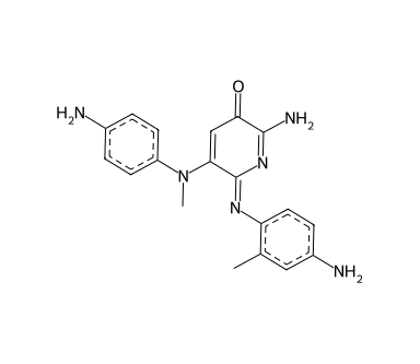 Cc1cc(N)ccc1N=C1N=C(N)C(=O)C=C1N(C)c1ccc(N)cc1